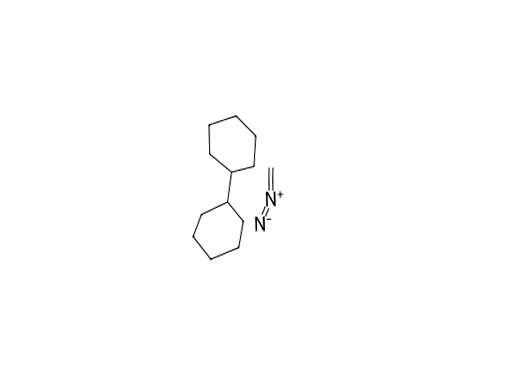 C1CCC(C2CCCCC2)CC1.C=[N+]=[N-]